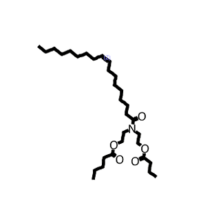 CCCCCCCC/C=C\CCCCCCCC(=O)N(CCOC(=O)CCC)CCOC(=O)CCCC